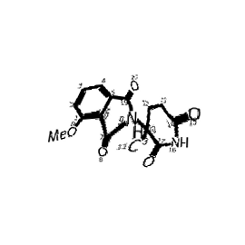 COc1cccc2c1C(=O)N(C1(C)CCC(=O)NC1=O)C2=O